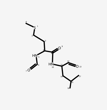 CSCCC(NC=O)C(=O)NC([C]=O)CC(C)C